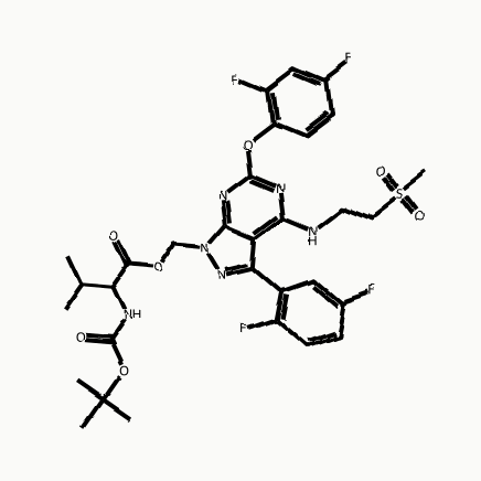 CC(C)C(NC(=O)OC(C)(C)C)C(=O)OCn1nc(-c2cc(F)ccc2F)c2c(NCCS(C)(=O)=O)nc(Oc3ccc(F)cc3F)nc21